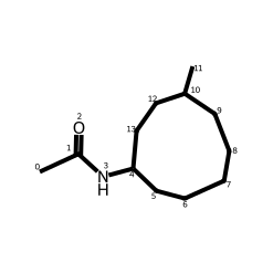 CC(=O)NC1CCCCCC(C)CC1